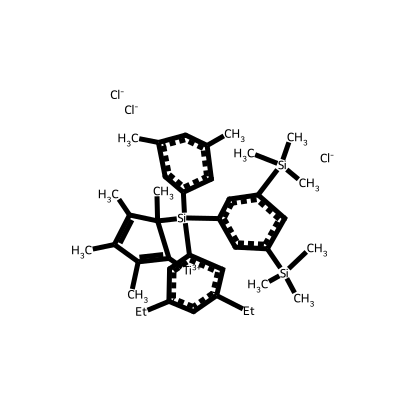 CCc1cc(CC)cc([Si](c2cc(C)cc(C)c2)(c2cc([Si](C)(C)C)cc([Si](C)(C)C)c2)C2(C)C(C)=C(C)C(C)=[C]2[Ti+3])c1.[Cl-].[Cl-].[Cl-]